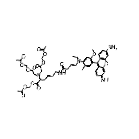 CCN(CCCC(=O)NCCCCC(C(=O)OCOC(C)=O)N(CC(=O)OCOC(C)=O)CC(=O)OCOC(C)=O)c1cc(OC)c(-c2c3ccc(=N)cc-3oc3cc(N)ccc23)cc1C